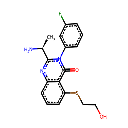 C[C@H](N)c1nc2cccc(SCCO)c2c(=O)n1-c1cccc(F)c1